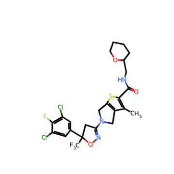 Cc1c(C(=O)NCC2CCCCO2)sc2c1CN(C1=NOC(c3cc(Cl)c(F)c(Cl)c3)(C(F)(F)F)C1)C2